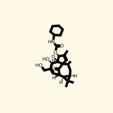 CC1=CC23C(=O)[C@@H](C=C(CO)[C@@H](O)[C@]2(O)[C@H]1OC(=O)NC1CCCCC1)[C@H]1[C@@H](CC3C)C1(C)C